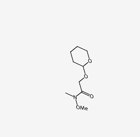 CON(C)C(=O)COC1CCCCO1